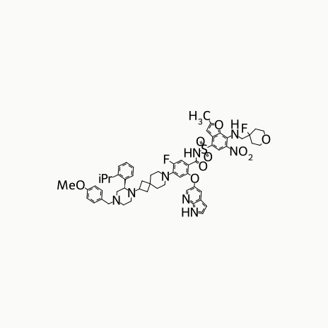 COc1ccc(CN2CCN(C3CC4(CCN(c5cc(Oc6cnc7[nH]ccc7c6)c(C(=O)NS(=O)(=O)c6cc([N+](=O)[O-])c(NCC7(F)CCOCC7)c7oc(C)cc67)cc5F)CC4)C3)[C@H](c3ccccc3C(C)C)C2)cc1